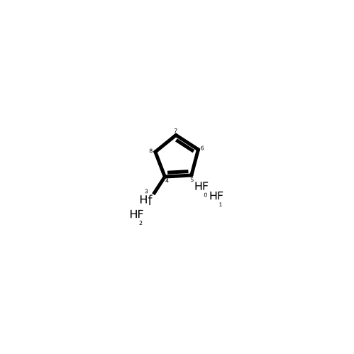 F.F.F.[Hf][C]1=CC=CC1